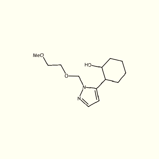 COCCOCn1nccc1C1CCCCC1O